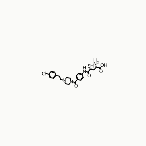 NC(C[C@@H](S)C(=O)Nc1ccc(C(=O)N2CCN(CCc3ccc(Cl)cc3)CC2)cc1)C(=O)O